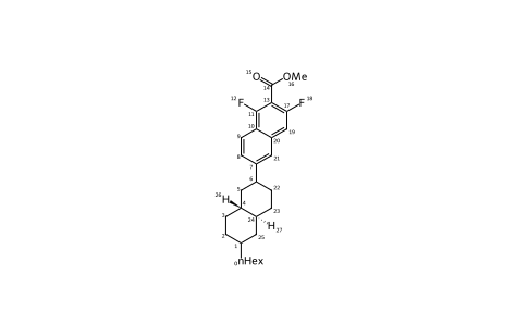 CCCCCCC1CC[C@@H]2CC(c3ccc4c(F)c(C(=O)OC)c(F)cc4c3)CC[C@H]2C1